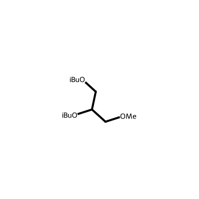 COCC(COCC(C)C)OCC(C)C